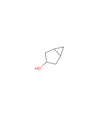 OC1CC2CC2C1